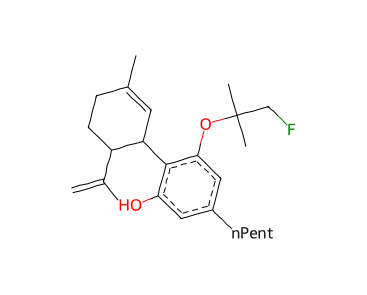 C=C(C)C1CCC(C)=CC1c1c(O)cc(CCCCC)cc1OC(C)(C)CF